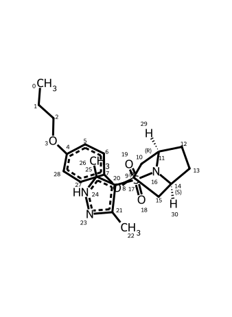 CCCOc1ccc(O[C@H]2C[C@H]3CC[C@@H](C2)N3S(=O)(=O)c2c(C)n[nH]c2C)cc1